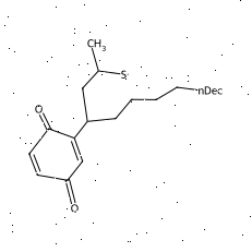 CCCCCCCCCCCCCCC(CC(C)[S])C1=CC(=O)C=CC1=O